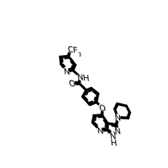 O=C(Nc1cc(C(F)(F)F)ccn1)c1ccc(Oc2ccnc3[nH]nc(N4CCCCC4)c23)cc1